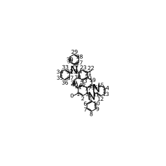 CC1=CC(N(c2ccccc2)c2ccccn2)C2=CCc3c(C)cc(N(c4ccccc4)c4ccccc4)c4ccc1c2c34